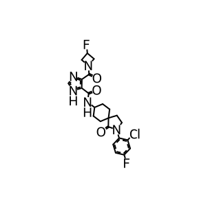 O=C(NC1CCC2(CC1)CCN(c1ccc(F)cc1Cl)C2=O)c1[nH]cnc1C(=O)N1CC(F)C1